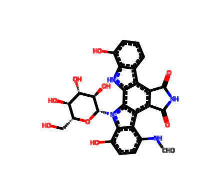 O=CNc1ccc(O)c2c1c1c3c(c4c5cccc(O)c5[nH]c4c1n2[C@@H]1O[C@H](CO)[C@@H](O)[C@H](O)[C@H]1O)C(=O)NC3=O